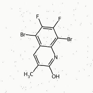 Cc1cc2c(Br)c(F)c(F)c(Br)c2nc1O